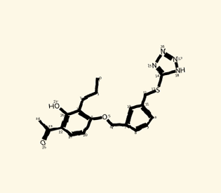 CCCc1c(OCc2cccc(CSc3nnn[nH]3)c2)ccc(C(C)=O)c1O